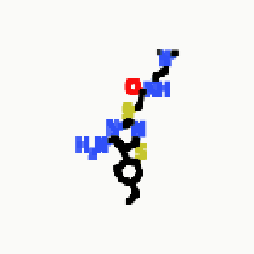 CCC1CCc2c(sc3nc(SCC(=O)NCCN(C)C)nc(N)c23)C1